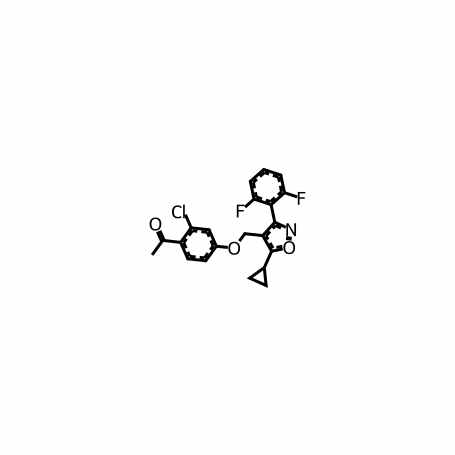 CC(=O)c1ccc(OCc2c(-c3c(F)cccc3F)noc2C2CC2)cc1Cl